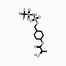 C=C(I)C(=O)OC1CCC(COS(=O)(=O)NS(=O)(=O)C(F)(F)F)CC1